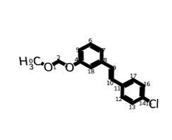 COCOc1cccc(C=Cc2ccc(Cl)cc2)c1